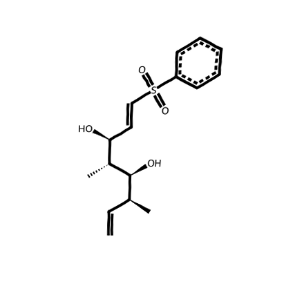 C=C[C@H](C)[C@H](O)[C@H](C)[C@@H](O)/C=C/S(=O)(=O)c1ccccc1